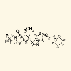 COc1cc(-c2cnc3cc(OCCN4CCCCC4)ccn23)cc2c1C(=O)N(CC(F)(F)F)CC2